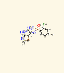 Cc1ccc(S(N)(=O)=Nc2c[nH]c3nc(C)sc23)c(F)c1